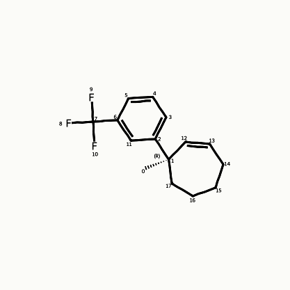 C[C@]1(c2cccc(C(F)(F)F)c2)C=CCCCC1